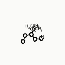 CC1(C)OB(c2cc(-c3cccc(-c4ccccc4)c3)cc(-c3cccc(-c4cccnc4)c3)c2)OC1(C)C